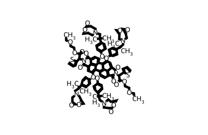 CCOCCOC(=O)C(c1cccs1)N1C(=O)c2cc(Oc3ccc(C(C)(C)CN(CC4CO4)CC4CO4)cc3)c3c4c(Oc5ccc(C(C)(C)CN(CC6CO6)CC6CO6)cc5)cc5c6c(cc(Oc7ccc(C(C)(C)CN(CC8CO8)CC8CO8)cc7)c(c7c(Oc8ccc(C(C)(C)CN(CC9CO9)CC9CO9)cc8)cc(c2c37)C1=O)c64)C(=O)N(C(C(=O)OCCOCC)c1cccs1)C5=O